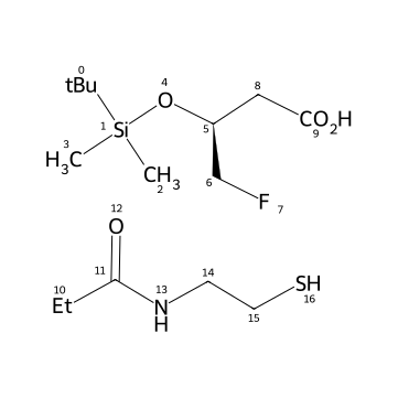 CC(C)(C)[Si](C)(C)O[C@H](CF)CC(=O)O.CCC(=O)NCCS